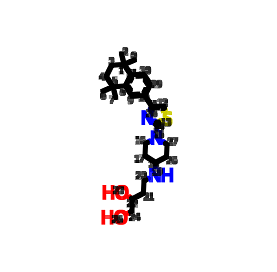 CC1(C)CCC(C)(C)c2cc(-c3csc(N4CCC(NCCC(O)CO)CC4)n3)ccc21